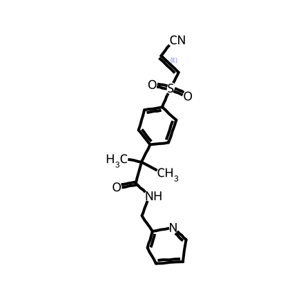 CC(C)(C(=O)NCc1ccccn1)c1ccc(S(=O)(=O)/C=C/C#N)cc1